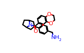 NCc1ccc(C2CC3CCC(C2)N3C(=O)c2ccc3c(c2)OCCO3)cc1